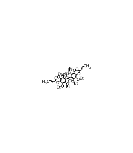 CC=CC(=O)Oc1c(OCC)c(OCC)c(C(C)(C)c2c(OCC)c(OCC)c(OC(=O)C=CC)c(OCC)c2OCC)c(OCC)c1OCC